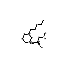 CCCCCN1CCCCC1.COCC(=O)O